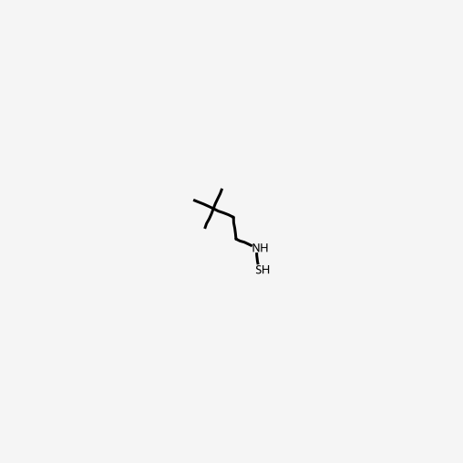 CC(C)(C)CCNS